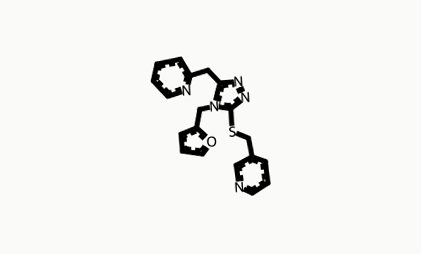 c1ccc(Cc2nnc(SCc3cccnc3)n2Cc2ccco2)nc1